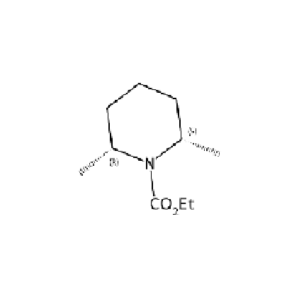 C[CH]OC(=O)N1[C@H](C)CCC[C@@H]1C